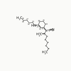 C=C(CCCCCC)/C(C#N)=C1\C=C(NCCCCC)CCC1